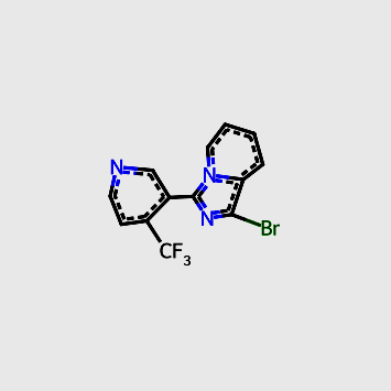 FC(F)(F)c1ccncc1-c1nc(Br)c2ccccn12